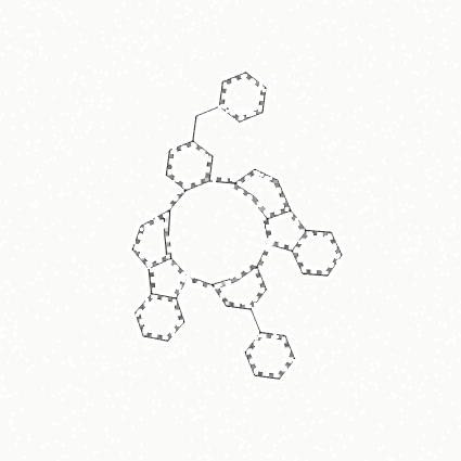 c1ccc(Cc2ccc3c4ccc5c6ccccc6n(c6cc(-c7ccccc7)cc(c6)n6c7ccccc7c7ccc(cc76)c3c2)c5c4)cc1